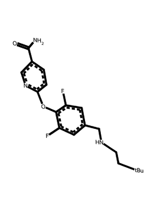 CC(C)(C)CCNCc1cc(F)c(Oc2ccc(C(N)=O)cn2)c(F)c1